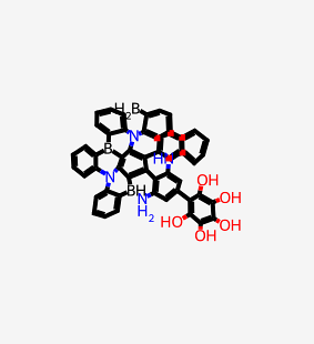 Bc1ccccc1N1c2ccccc2B2c3ccccc3N3c4ccccc4Bc4c(-c5c(N)cc(-c6c(O)c(O)c(O)c(O)c6O)cc5Nc5ccccc5)c(-c5ccccc5)c1c2c43